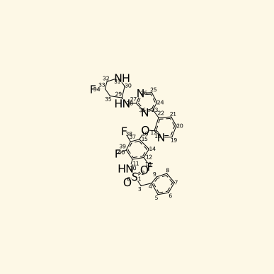 O=S(=O)(Cc1ccccc1)Nc1c(F)cc(Oc2ncccc2-c2ccnc(N[C@@H]3CNC[C@@H](F)C3)n2)c(F)c1F